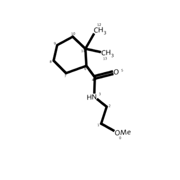 COCCNC(=O)C1CCCCC1(C)C